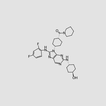 O=C([C@H]1CC[C@@H](n2c(Nc3ccc(F)cc3F)nc3cnc(N[C@H]4CC[C@H](O)CC4)nc32)CC1)N1CCCCC1